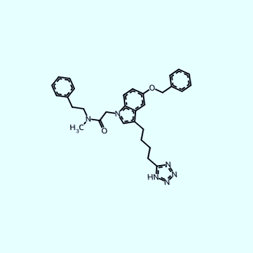 CN(CCc1ccccc1)C(=O)Cn1cc(CCCCc2nnn[nH]2)c2cc(OCc3ccccc3)ccc21